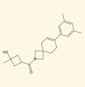 Cc1cc(C)cc(C2=CCC3(CC2)CN(C(=O)C2CC(C)(O)C2)C3)c1